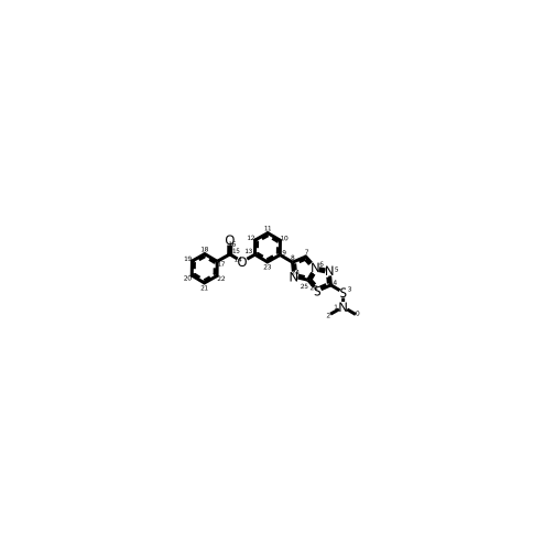 CN(C)Sc1nn2cc(-c3cccc(OC(=O)c4ccccc4)c3)nc2s1